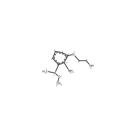 CON(C)c1cccc(OCCO)c1N